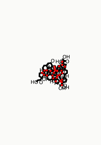 C[C@]12C[C@H](O)[C@H]3[C@@H](CCC4=CC(=O)CC(OC(=O)C(C5CC(=O)C=C6CC[C@@H]7[C@H]([C@@H](O)C[C@@]8(C)[C@H]7CC[C@]8(O)C(=O)CO)[C@]65C)(C5CC(=O)C=C6CC[C@@H]7[C@H]([C@@H](O)C[C@@]8(C)[C@H]7CC[C@]8(O)C(=O)CO)[C@]65C)C5CC(=O)C=C6CC[C@@H]7[C@H]([C@@H](O)C[C@@]8(C)[C@H]7CC[C@]8(O)C(=O)CO)[C@]65C)[C@@]43C)[C@@H]1CC[C@]2(O)C(=O)CO